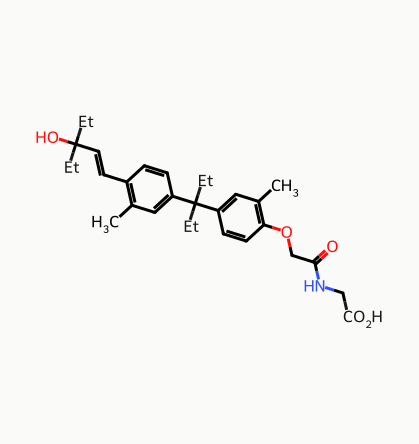 CCC(O)(C=Cc1ccc(C(CC)(CC)c2ccc(OCC(=O)NCC(=O)O)c(C)c2)cc1C)CC